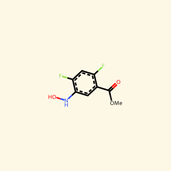 COC(=O)c1cc(NO)c(F)cc1F